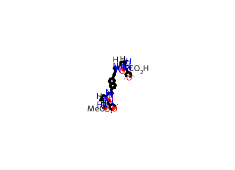 COC(=O)N[C@H](C(=O)N1[C@@H]2C[C@H]2C[C@H]1c1nc(-c2ccc3cc(C#Cc4c[nH]c([C@@H]5C[C@H]6C[C@H]6N5C(=O)[C@@H](NC(=O)O)C5C[C@@H](C)O[C@@H](C)C5)n4)ccc3c2)c[nH]1)C1C[C@@H](C)O[C@@H](C)C1